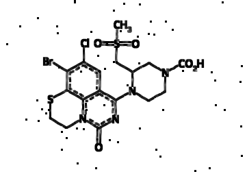 CS(=O)(=O)CC1CN(C(=O)O)CCN1c1nc(=O)n2c3c(c(Br)c(Cl)cc13)SCC2